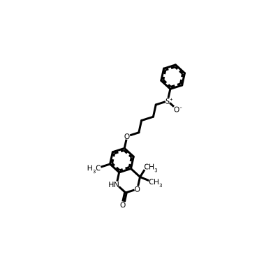 Cc1cc(OCCCC[S+]([O-])c2ccccc2)cc2c1NC(=O)OC2(C)C